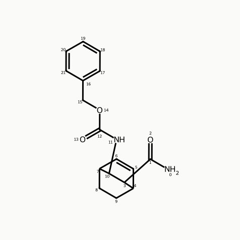 NC(=O)C1C2C=CC(CC2)C1NC(=O)OCc1ccccc1